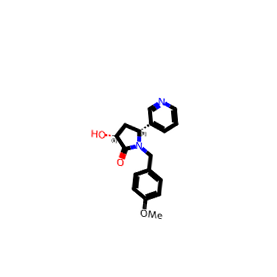 COc1ccc(CN2C(=O)[C@H](O)C[C@@H]2c2cccnc2)cc1